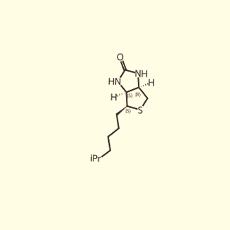 CC(C)CCCC[C@@H]1SC[C@@H]2NC(=O)N[C@@H]21